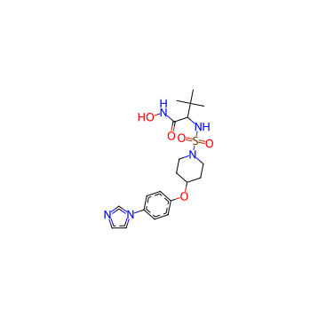 CC(C)(C)C(NS(=O)(=O)N1CCC(Oc2ccc(-n3ccnc3)cc2)CC1)C(=O)NO